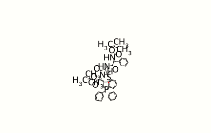 CC(C)(C)OC(=O)NC(C(=O)N[C@@H]1C(=O)N2C(C(=O)OC(C)(C)C)=C(C=P(c3ccccc3)(c3ccccc3)c3ccccc3)CS[C@@H]12)c1ccccc1